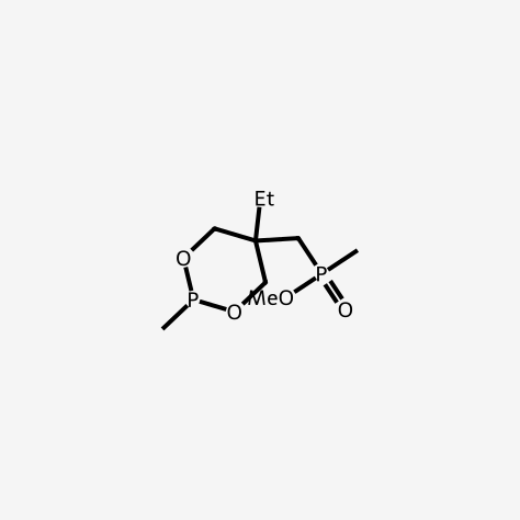 CCC1(CP(C)(=O)OC)COP(C)OC1